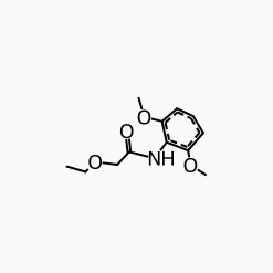 CCOCC(=O)Nc1c(OC)cccc1OC